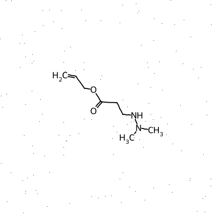 C=CCOC(=O)CCNN(C)C